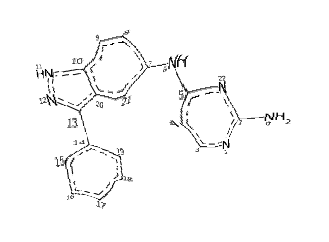 Nc1nccc(Nc2ccc3[nH]nc(-c4ccccc4)c3c2)n1